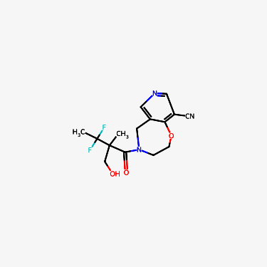 CC(F)(F)C(C)(CO)C(=O)N1CCOc2c(C#N)cncc2C1